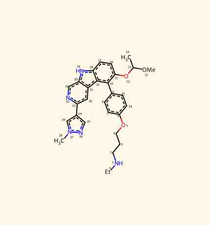 CCNCCCOc1ccc(-c2c(OC(C)OC)ccc3[nH]c4cnc(-c5cnn(C)c5)cc4c23)cc1